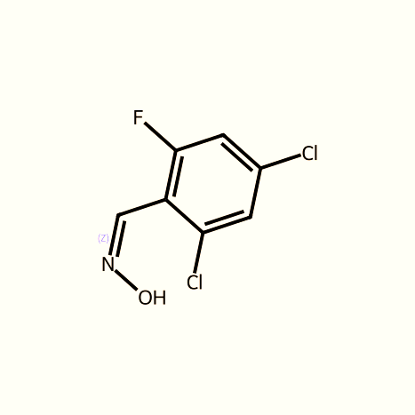 O/N=C\c1c(F)cc(Cl)cc1Cl